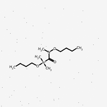 CCCCON(C)C(=O)[N+](C)(C)OCCCC